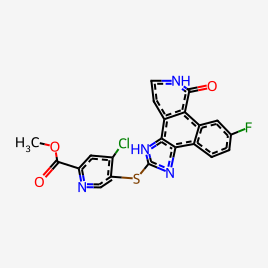 COC(=O)c1cc(Cl)c(Sc2nc3c4ccc(F)cc4c4c(=O)[nH]ccc4c3[nH]2)cn1